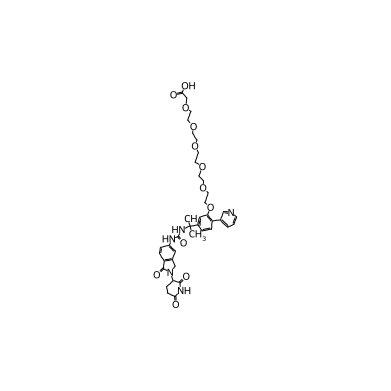 CC(C)(NC(=O)Nc1ccc2c(c1)CN(C1CCC(=O)NC1=O)C2=O)c1ccc(-c2cccnc2)c(OCCOCCOCCOCCOCCOCC(=O)O)c1